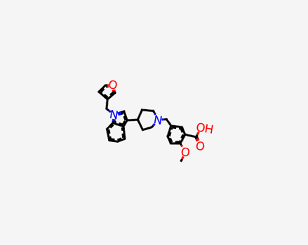 COc1ccc(CN2CCC(c3cn(Cc4ccoc4)c4ccccc34)CC2)cc1C(=O)O